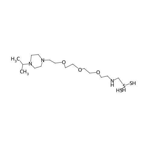 CC(C)N1CCN(CCOCCOCCOCCNC[SH](S)S)CC1